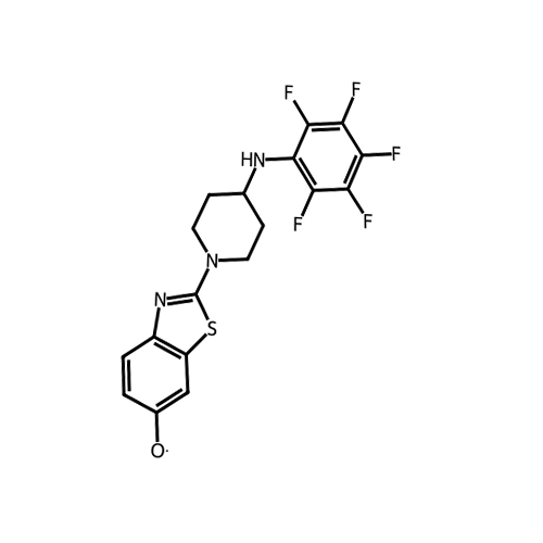 [O]c1ccc2nc(N3CCC(Nc4c(F)c(F)c(F)c(F)c4F)CC3)sc2c1